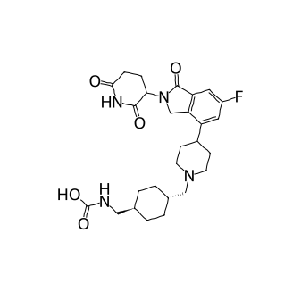 O=C(O)NC[C@H]1CC[C@H](CN2CCC(c3cc(F)cc4c3CN(C3CCC(=O)NC3=O)C4=O)CC2)CC1